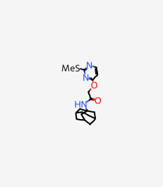 CSc1nccc(OCC(=O)NC23CC4CC(CC(C4)C2)C3)n1